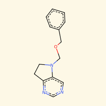 c1ccc(COCN2CCc3ncncc32)cc1